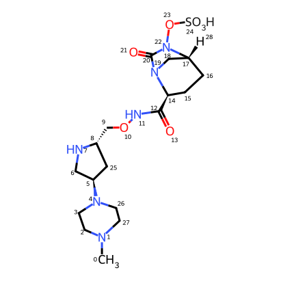 CN1CCN([C@H]2CN[C@H](CONC(=O)[C@@H]3CC[C@@H]4CN3C(=O)N4OS(=O)(=O)O)C2)CC1